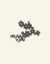 NC(=O)[C@H](CCC(=O)O)N1Cc2cc(O[C@@H]3CN(Cc4cc(F)c5nc(C6CCOCC6)ccc5c4)C[C@H]3OC3COC3)ccc2C1=O